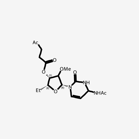 CC[C@H]1O[C@@H](N2C=CC(NC(C)=O)NC2=O)C(OC)[C@H]1OC(=O)CCC(C)=O